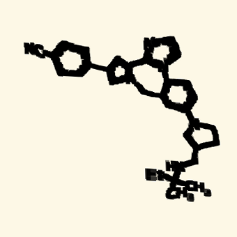 CCC(C)(C)NC[C@@H]1CCN(c2ccc3c(c2)Cn2cc(-c4ccc(C#N)cc4)cc2-c2nccn2-3)C1